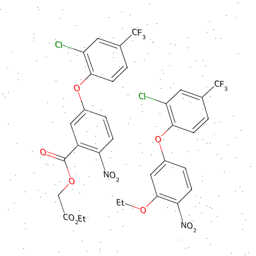 CCOC(=O)COC(=O)c1cc(Oc2ccc(C(F)(F)F)cc2Cl)ccc1[N+](=O)[O-].CCOc1cc(Oc2ccc(C(F)(F)F)cc2Cl)ccc1[N+](=O)[O-]